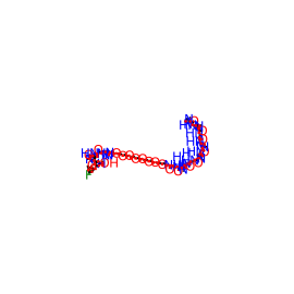 Cc1cc(F)cc(C)c1Oc1ccc(C(C)(C)O)cc1-c1cn(C)c(=O)c2[nH]c(C(=O)NCc3cn(CCOCCOCCOCCOCCOCCOCCOCCOCCNC(=O)CCNC(=O)c4nc(NC(=O)CCNC(=O)c5cc(NC(=O)c6nc(NC(=O)CCNC(=O)c7cc(NC(=O)c8nccn8C)cn7C)cn6C)cn5C)cn4C)nn3)cc12